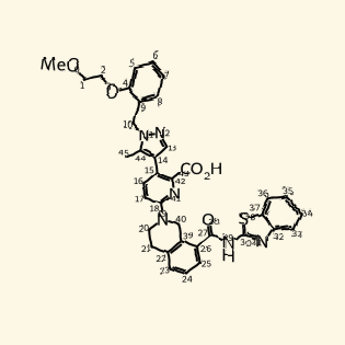 COCCOc1ccccc1Cn1ncc(-c2ccc(N3CCc4cccc(C(=O)Nc5nc6ccccc6s5)c4C3)nc2C(=O)O)c1C